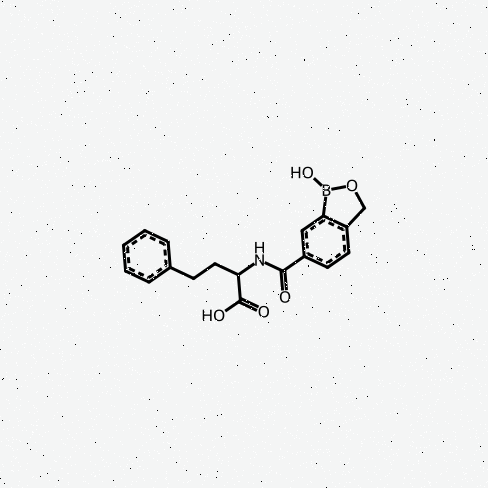 O=C(NC(CCc1ccccc1)C(=O)O)c1ccc2c(c1)B(O)OC2